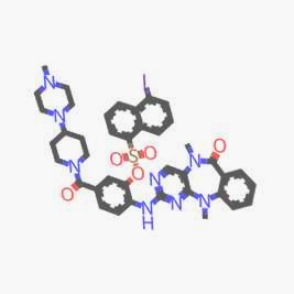 CN1CCN(C2CCN(C(=O)c3ccc(Nc4ncc5c(n4)N(C)c4ccccc4C(=O)N5C)c(OS(=O)(=O)c4cccc5c(I)cccc45)c3)CC2)CC1